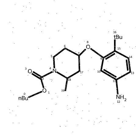 CCCCOC(=O)N1CCC(Oc2cc(N)ccc2C(C)(C)C)CC1C